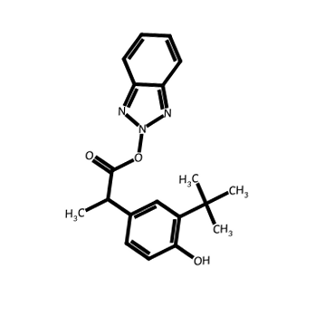 CC(C(=O)On1nc2ccccc2n1)c1ccc(O)c(C(C)(C)C)c1